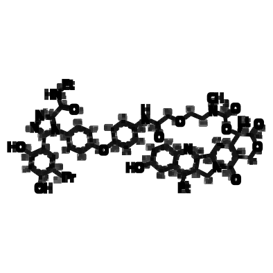 CCNC(=O)c1nnc(-c2cc(C(C)C)c(O)cc2O)n1-c1ccc(Oc2ccc(NC(=O)COCCN(C)C(=O)O[C@]3(CC)C(=O)OCc4c3cc3n(c4=O)Cc4c-3nc3ccc(O)cc3c4CC)cc2)cc1